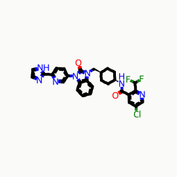 O=C(N[C@H]1CC[C@H](Cn2c(=O)n(-c3ccc(-c4ncc[nH]4)nc3)c3ccccc32)CC1)c1cc(Cl)cnc1C(F)F